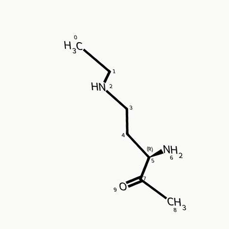 CCNCC[C@@H](N)C(C)=O